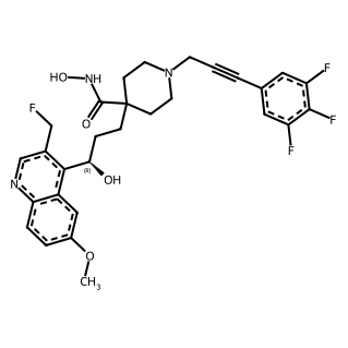 COc1ccc2ncc(CF)c([C@H](O)CCC3(C(=O)NO)CCN(CC#Cc4cc(F)c(F)c(F)c4)CC3)c2c1